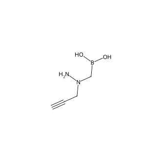 C#CCN(N)CB(O)O